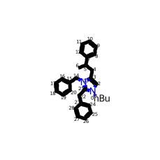 CCCCn1cc(CC(C)c2ccccc2)[n+](Cc2ccccc2)c1Cc1ccccc1